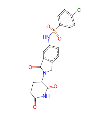 O=C1CCC(N2Cc3ccc(NS(=O)(=O)c4ccc(Cl)cc4)cc3C2=O)C(=O)N1